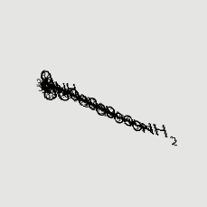 NCCOCCOCCOCCOCCOCCOCCOCCOCCC(=O)NCCN1C(=O)C=CC1=O